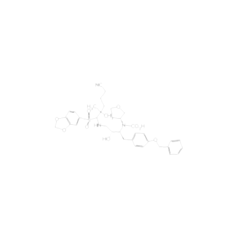 CC(C)(CCCC#N)C(NC[C@@H](O)[C@H](Cc1ccc(OCc2ccccc2)cc1)N(C(=O)O)[C@H]1CCOC1)S(=O)(=O)c1ccc2c(c1)OCO2